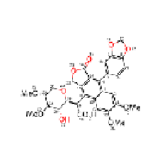 COc1cc2c(-c3ccc4c(c3)OCO4)c3c(c(C(C(=O)O)[C@@H]4OC[C@@H](OC)[C@H](OC)[C@H]4O)c2cc1OC)COC3=O